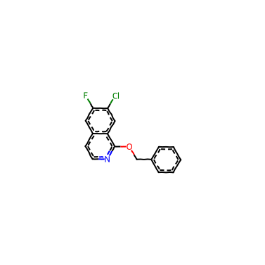 Fc1cc2ccnc(OCc3ccccc3)c2cc1Cl